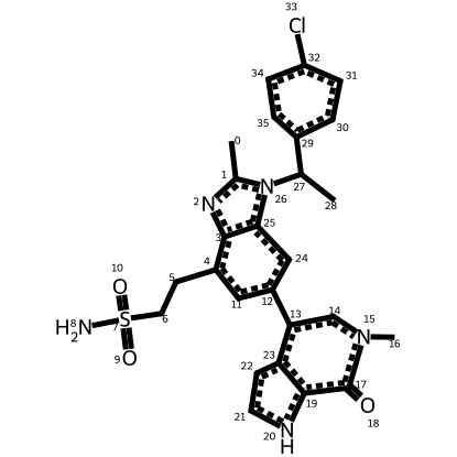 Cc1nc2c(CCS(N)(=O)=O)cc(-c3cn(C)c(=O)c4[nH]ccc34)cc2n1C(C)c1ccc(Cl)cc1